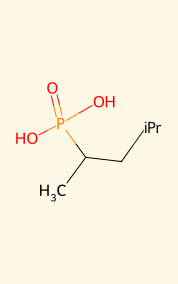 CC(C)CC(C)P(=O)(O)O